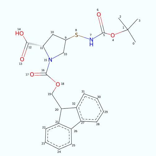 CC(C)(C)OC(=O)NSC1C[C@@H](C(=O)O)N(C(=O)OCC2c3ccccc3-c3ccccc32)C1